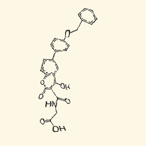 O=C(O)CNC(=O)c1c(O)c2cc(-c3ccc(OCc4ccccc4)cc3)ccc2oc1=O